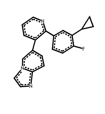 Fc1ccc(-c2ncccc2-c2ccc3nccn3c2)cc1C1CC1